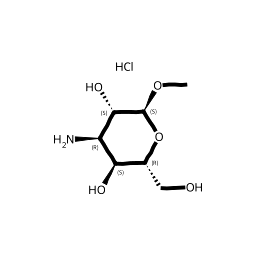 CO[C@H]1O[C@H](CO)[C@@H](O)[C@@H](N)[C@@H]1O.Cl